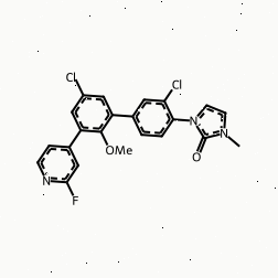 COc1c(-c2ccnc(F)c2)cc(Cl)cc1-c1ccc(-n2ccn(C)c2=O)c(Cl)c1